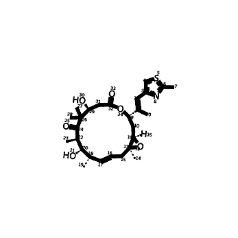 C/C(=C\c1csc(C)n1)[C@@H]1C[C@H]2O[C@@]2(C)C/C=C/[C@H](C)[C@H](O)[C@@H](C)C(=O)C(C)(C)[C@@H](O)CC(=O)O1